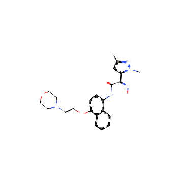 Cn1nc(C(C)(C)C)cc1C(=NO)C(=O)Nc1ccc(OCCN2CCOCC2)c2ccccc12